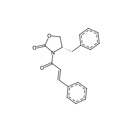 O=C(C=Cc1ccccc1)N1C(=O)OC[C@@H]1Cc1ccccc1